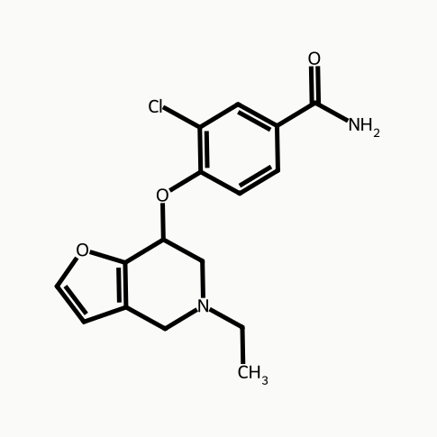 CCN1Cc2ccoc2C(Oc2ccc(C(N)=O)cc2Cl)C1